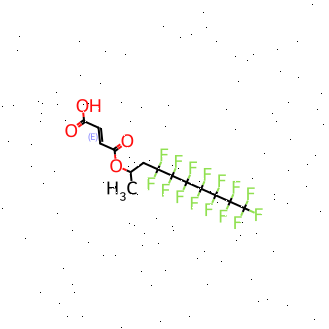 CC(CC(F)(F)C(F)(F)C(F)(F)C(F)(F)C(F)(F)C(F)(F)C(F)(F)F)OC(=O)/C=C/C(=O)O